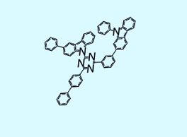 c1ccc(-c2ccc(-c3nc(-c4cccc(-c5ccc6c7ccccc7n(-c7ccccc7)c6c5)c4)nc(-n4c5ccccc5c5cc(-c6ccccc6)ccc54)n3)cc2)cc1